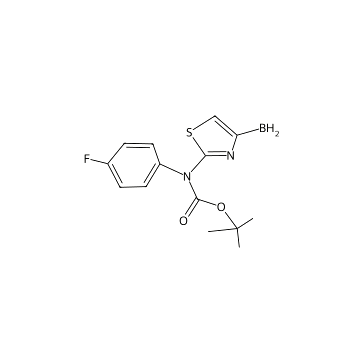 Bc1csc(N(C(=O)OC(C)(C)C)c2ccc(F)cc2)n1